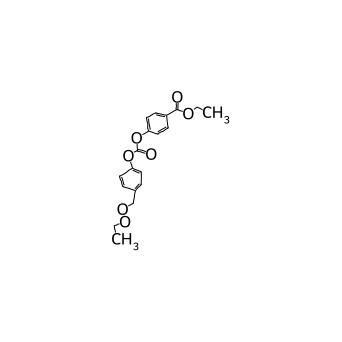 CCOOCc1ccc(OC(=O)Oc2ccc(C(=O)OCC)cc2)cc1